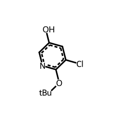 CC(C)(C)Oc1ncc(O)cc1Cl